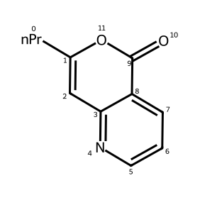 [CH2]CCc1cc2ncccc2c(=O)o1